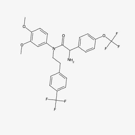 COc1ccc(N(CCc2ccc(C(F)(F)F)cc2)C(=O)C(N)c2ccc(OC(F)(F)F)cc2)cc1OC